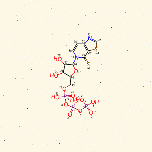 O=P(O)(O)OP(=O)(O)OP(=O)(O)OCC1OC(n2ccc3ncsc3c2=S)C(O)C1O